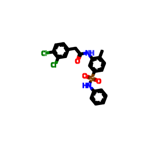 Cc1ccc(S(=O)(=O)Nc2ccccc2)cc1NC(=O)Cc1ccc(Cl)c(Cl)c1